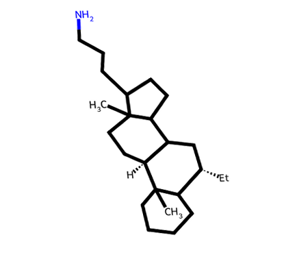 CC[C@H]1CC2C3CCC(CCCN)C3(C)CC[C@@H]2C2(C)CCCCC12